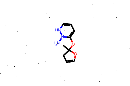 CC1(OC2=CC=CNN2N)CC=CO1